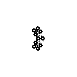 CC1C=CC=CC1C1N=C(c2cccc3c2Oc2ccccc2[Si]3(c2ccccc2)c2ccccc2)C=C(c2cccc3c2Oc2ccccc2[Si]3(c2ccccc2)C2C=CC=CC2)N1